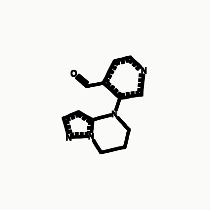 O=Cc1ccncc1N1CCCn2nccc21